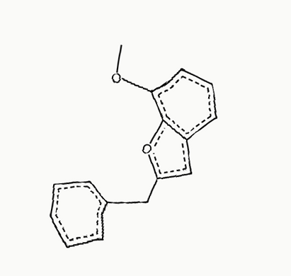 COc1cccc2cc(Cc3ccccc3)oc12